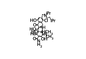 B=C1C(C(N)=O)=C(O)[C@@H](N(C)C)[C@@H]2C[C@@H]3Cc4c(Cl)c(CN(CCC(C)C)C(C)C)cc(O)c4C(=O)C3=C(O)C12O